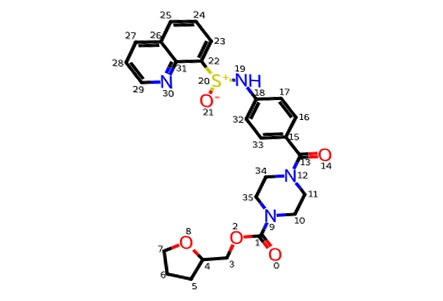 O=C(OCC1CCCO1)N1CCN(C(=O)c2ccc(N[S+]([O-])c3cccc4cccnc34)cc2)CC1